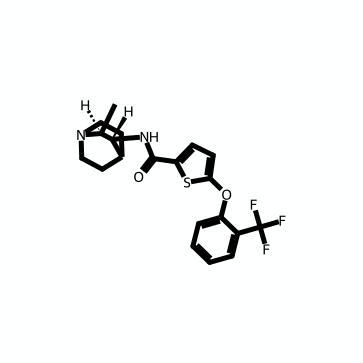 C[C@H]1[C@H](NC(=O)c2ccc(Oc3ccccc3C(F)(F)F)s2)C2CCN1CC2